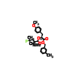 CN[C@@H](CC(C)(C)F)C(=O)O[C@@H](Cc1ccc(OC(F)(F)F)cc1)C(=O)OCc1cccc(C)c1